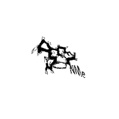 CNC(O)c1cnc2ccc(-c3ccccc3-c3cccc(C)n3)cn12